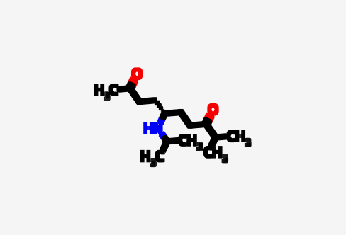 CC(=O)CC[C@H](CCC(=O)C(C)C)NC(C)C